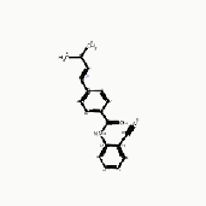 CC(C)/C=C/c1ccc(C(=O)Nc2ccccc2C#N)cc1